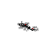 Cn1c(Cc2ccc(CO)c(N)c2)ccc1[C@@H]1O[C@@H]2C[C@H]3[C@@H]4C[C@H](F)C5=CC(=O)C=C[C@]5(C)[C@@]4(F)[C@@H](O)C[C@]3(C)[C@]2(C(=O)CO)O1